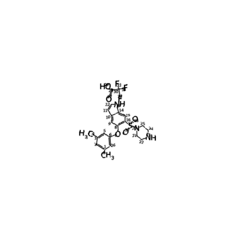 Cc1cc(C)cc(Oc2cc3cc[nH]c3cc2S(=O)(=O)N2CCNCC2)c1.O=C(O)C(F)(F)F